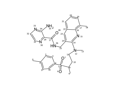 Cc1ccc(S(=O)(=O)C(C)CCN(C)c2nc3c(C)cccc3cc2CNC(=O)c2nccnc2N)cc1